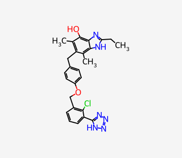 CCc1nc2c(O)c(C)c(Cc3ccc(OCc4cccc(-c5nnn[nH]5)c4Cl)cc3)c(C)c2[nH]1